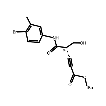 Cc1cc(NC(=O)[C@@H](C#CC(=O)OC(C)(C)C)CO)ccc1Br